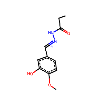 CCC(=O)N/N=C/c1ccc(OC)c(O)c1